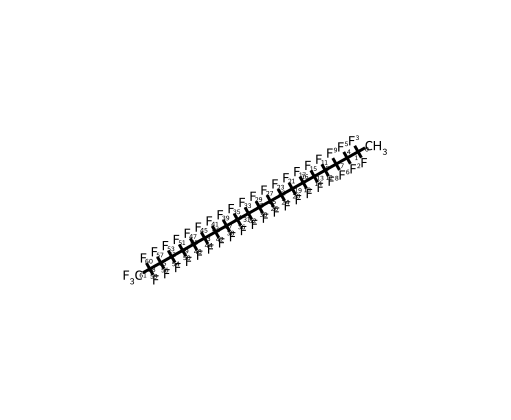 CC(F)(F)C(F)(F)C(F)(F)C(F)(F)C(F)(F)C(F)(F)C(F)(F)C(F)(F)C(F)(F)C(F)(F)C(F)(F)C(F)(F)C(F)(F)C(F)(F)C(F)(F)C(F)(F)C(F)(F)C(F)(F)C(F)(F)C(F)(F)C(F)(F)F